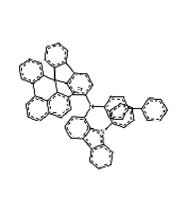 CCc1ccc2cccc3c2c1C1(c2ccccc2-c2ccc(N(c4ccc(-c5ccccc5)cc4)c4cccc5c6ccccc6n(-c6ccccc6)c45)cc21)c1ccccc1-3